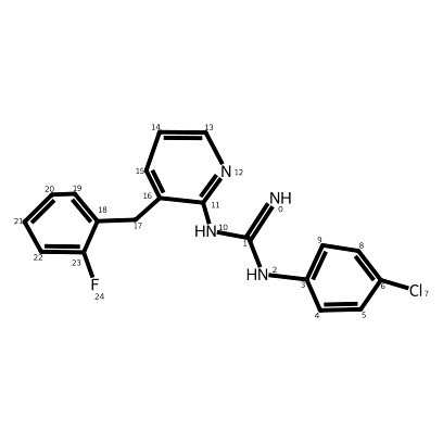 N=C(Nc1ccc(Cl)cc1)Nc1ncccc1Cc1ccccc1F